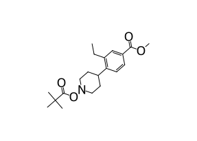 CCc1cc(C(=O)OC)ccc1C1CCN(OC(=O)C(C)(C)C)CC1